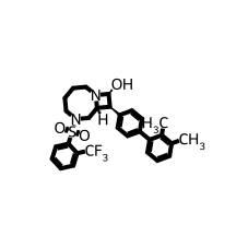 Cc1cccc(-c2ccc([C@@H]3[C@@H](O)N4CCCCN(S(=O)(=O)c5ccccc5C(F)(F)F)C[C@@H]34)cc2)c1C